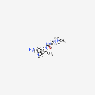 C[C@@H]1C[C@@H](c2ccc(CN)c3ncccc23)CN(CC(=O)NCCN2CCN(C)CC2)C1